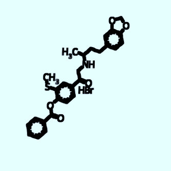 Br.CSc1cc(C(=O)CNC(C)CCc2ccc3c(c2)OCO3)ccc1OC(=O)c1ccccc1